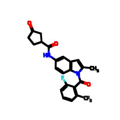 Cc1cc2cc(NC(=O)C3CCC(=O)C3)ccc2n1C(=O)c1c(F)cccc1C(F)(F)F